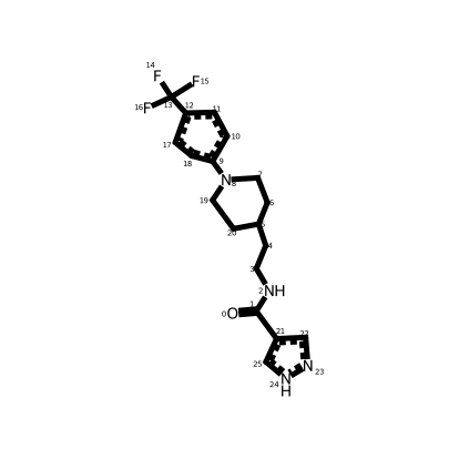 O=C(NCCC1CCN(c2ccc(C(F)(F)F)cc2)CC1)c1cn[nH]c1